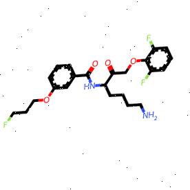 NCCCCC(NC(=O)c1cccc(OCCCF)c1)C(=O)COc1c(F)cccc1F